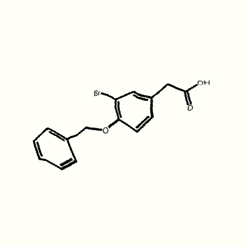 O=C(O)Cc1ccc(OCc2ccccc2)c(Br)c1